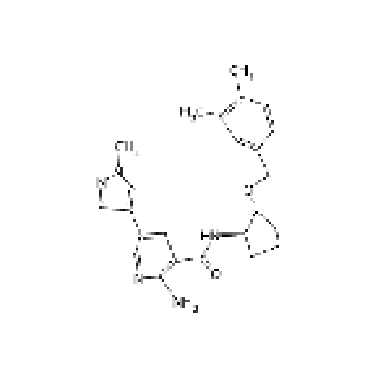 Cc1ccc(CO[C@@H]2CCC[C@H]2NC(=O)c2cc(-c3cnn(C)c3)cnc2N)cc1C